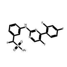 CCCS(=O)(=O)C(F)c1cccc(Nc2ncc(F)c(-c3ccc(F)cc3F)n2)c1